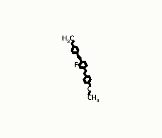 CCCCCc1ccc(CCc2ccc(C#Cc3ccc(CCC)cc3)c(F)c2)cc1